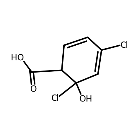 O=C(O)C1C=CC(Cl)=CC1(O)Cl